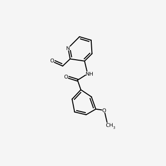 COc1cccc(C(=O)Nc2cccnc2C=O)c1